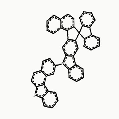 c1ccc2c(c1)-c1ccccc1C21c2cc3c4ccccc4n(-c4ccc5ccc6sc7ccccc7c6c5c4)c3cc2-c2c1ccc1ccccc21